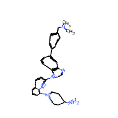 CN(C)Cc1ccc(-c2ccc3c(c2)ncn3-c2ccc3cccc(N4CCC(N)CC4)c3n2)cc1